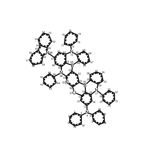 c1ccc(N(c2ccccc2)c2cc3c4c(c2)N(c2ccccc2)c2ccccc2B4c2cc4c(nc2O3)N(c2ccccc2)c2cc(-n3c5ccccc5c5ccccc53)cc3c2B4c2ccccc2N3c2ccccc2)cc1